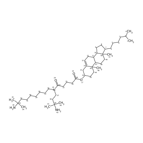 CC(C)CCCCC1CCC2C3CC=C4CC(OC(=O)CCCC(=O)N(CCCCCCCC(C)(C)N)CCC(C)(C)N)CCC4(C)C3CCC12C